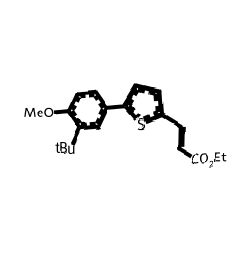 CCOC(=O)C=Cc1ccc(-c2ccc(OC)c(C(C)(C)C)c2)s1